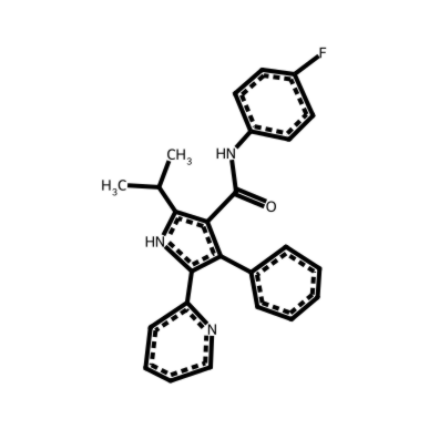 CC(C)c1[nH]c(-c2ccccn2)c(-c2ccccc2)c1C(=O)Nc1ccc(F)cc1